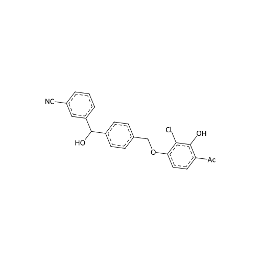 CC(=O)c1ccc(OCc2ccc(C(O)c3cccc(C#N)c3)cc2)c(Cl)c1O